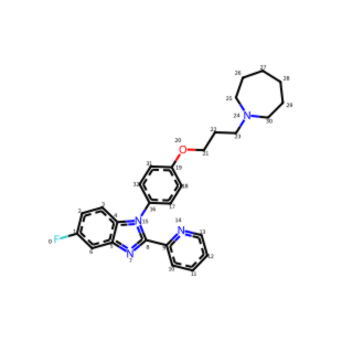 Fc1ccc2c(c1)nc(-c1ccccn1)n2-c1ccc(OCCCN2CCCCCC2)cc1